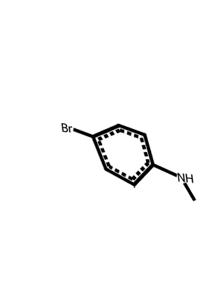 CNc1[c]cc(Br)cc1